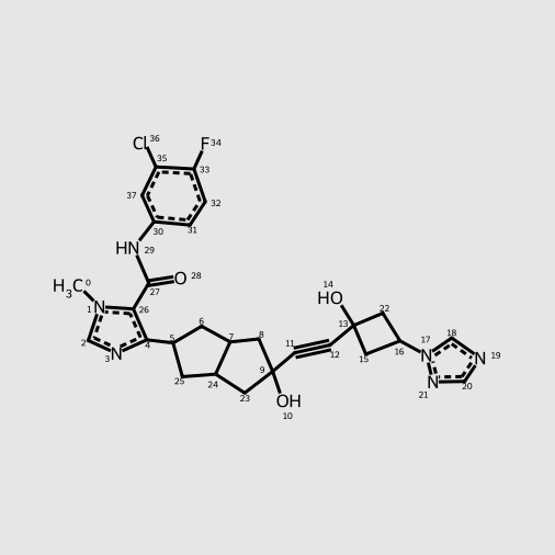 Cn1cnc(C2CC3CC(O)(C#CC4(O)CC(n5cncn5)C4)CC3C2)c1C(=O)Nc1ccc(F)c(Cl)c1